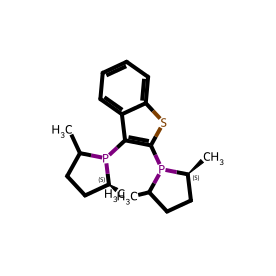 CC1CC[C@H](C)P1c1sc2ccccc2c1P1C(C)CC[C@@H]1C